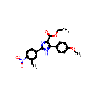 CCOC(=O)c1nc(-c2ccc([N+](=O)[O-])c(C)c2)[nH]c1-c1ccc(OC)cc1